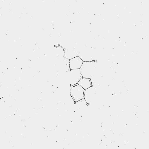 Oc1ncnc2c1ncn2[C@@H]1O[C@H](CO[SiH3])CC1O